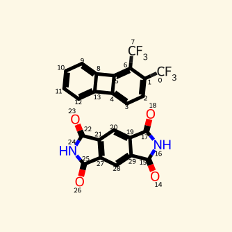 FC(F)(F)c1ccc2c(c1C(F)(F)F)-c1ccccc1-2.O=c1[nH]c(=O)c2cc3c(=O)[nH]c(=O)c3cc12